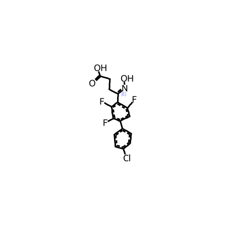 O=C(O)CC/C(=N\O)c1c(F)cc(-c2ccc(Cl)cc2)c(F)c1F